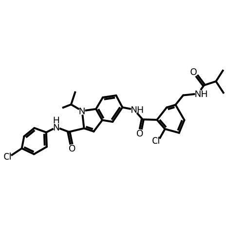 CC(C)C(=O)NCc1ccc(Cl)c(C(=O)Nc2ccc3c(c2)cc(C(=O)Nc2ccc(Cl)cc2)n3C(C)C)c1